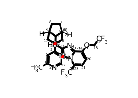 Cc1cc(N2C[C@H]3CC[C@@H](C2)C3Nc2nc3c(OCC(F)(F)F)ccc(C(F)(F)F)n3n2)ncn1